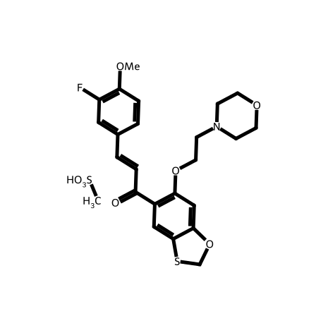 COc1ccc(/C=C/C(=O)c2cc3c(cc2OCCN2CCOCC2)OCS3)cc1F.CS(=O)(=O)O